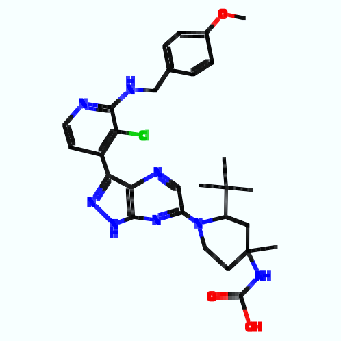 COc1ccc(CNc2nccc(-c3n[nH]c4nc(N5CCC(C)(NC(=O)O)CC5C(C)(C)C)cnc34)c2Cl)cc1